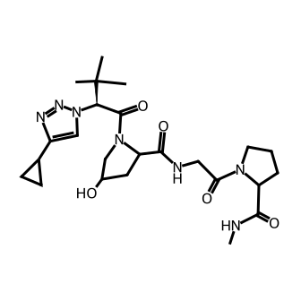 CNC(=O)C1CCCN1C(=O)CNC(=O)C1CC(O)CN1C(=O)[C@@H](n1cc(C2CC2)nn1)C(C)(C)C